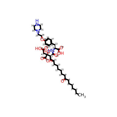 CCCCCCCC(=O)CCCCCC/C=C/[C@H](C(=O)N[C@@H](Cc1ccc(OCCN2CCNCC2)cc1)C(=O)O)[C@@](O)(CC(=O)O)C(=O)O